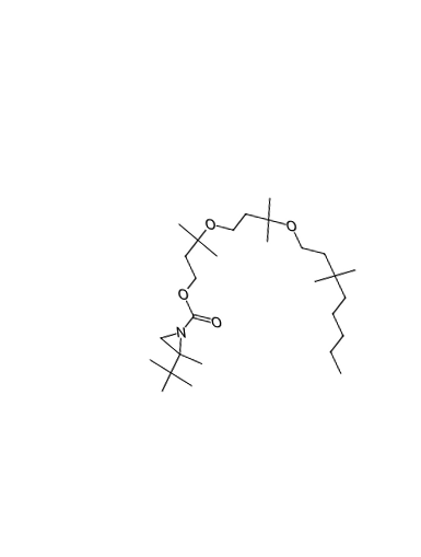 CCCCCC(C)(C)CCOC(C)(C)CCOC(C)(C)CCOC(=O)N1CC1(C)C(C)(C)C